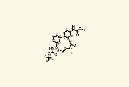 COC(=O)Nc1ccc2c(c1)NC(=O)[C@H](C)/C=C/C[C@H](NC(=O)OC(C)(C)C)c1cc-2ccn1